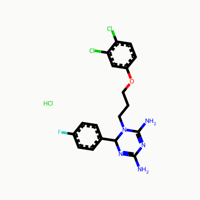 Cl.NC1=NC(c2ccc(F)cc2)N(CCCOc2ccc(Cl)c(Cl)c2)C(N)=N1